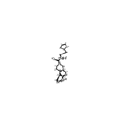 O=C(NCCC1CC=CS1)N1CCc2c(cnc3[nH]ncc23)C1